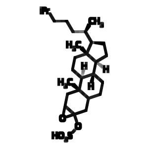 CC(C)CCC[C@@H](C)[C@H]1CC[C@H]2[C@@H]3CCC4CC5(OS(=O)(=O)O)OC5C[C@]4(C)[C@H]3CC[C@]12C